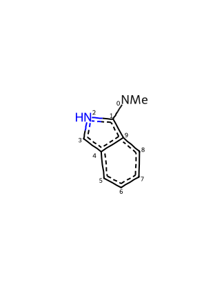 CNc1[nH]cc2ccccc12